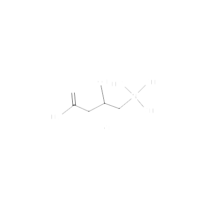 C[N+](C)(C)CC(O)CC(=O)O.Cl